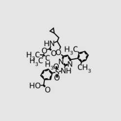 Cc1cccc(C)c1-c1cc(OCC(CC2CC2)NC(=O)OC(C)(C)C)nc(NS(=O)(=O)c2cccc(C(=O)O)c2)n1